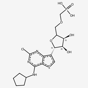 O=P(O)(O)COCC1O[C@@H](c2csc3c(NC4CCCC4)nc(Cl)nc23)[C@H](O)[C@@H]1O